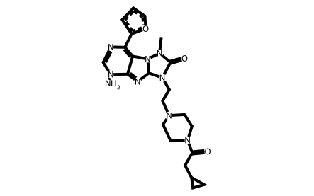 CN1C(=O)N(CCN2CCN(C(=O)CC3CC3)CC2)C2N=C3C(=C(c4ccco4)N=CN3N)N21